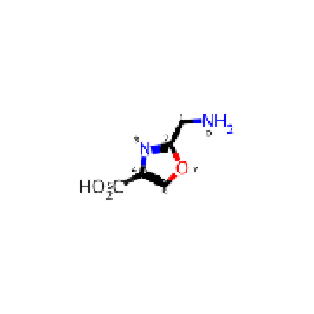 NCc1nc(C(=O)O)co1